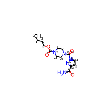 CCCCOC(=O)N1CCN(C(=O)n2ccc(C(N)=O)n2)CC1